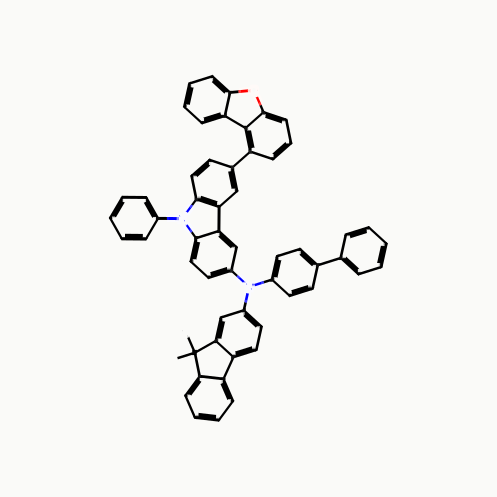 CC1(C)c2ccccc2-c2ccc(N(c3ccc(-c4ccccc4)cc3)c3ccc4c(c3)c3cc(-c5cccc6oc7ccccc7c56)ccc3n4-c3ccccc3)cc21